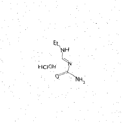 CCNC=NC(N)=O.Cl.Cl